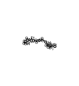 CCc1c2c(nc3ccc(OC(=O)N4CCN(C(=O)OCc5ccc(NC(=O)[C@H](C)NC(=O)C(Cc6ccccc6)NC(C)C)cc5)CC4)cc13)-c1cc3c(c(=O)n1C2)COC(=O)[C@]3(O)CC